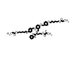 C=CC(=O)OCCCCCCOc1ccc(COc2ccc(OCc3ccc(OCCCCCCOC(=O)C=C)cc3)c(/C=N/N(CCCOC(=O)C(=C)F)c3nc4ccccc4s3)c2)cc1